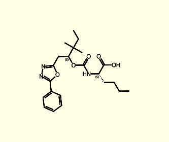 CCCC[C@H](NC(=O)O[C@@H](Cc1nnc(-c2ccccc2)o1)C(C)(C)CC)C(=O)O